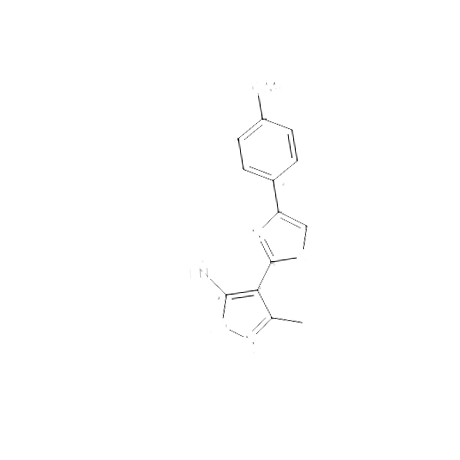 COc1ccc(-c2csc(-c3c(C)noc3N)n2)cc1